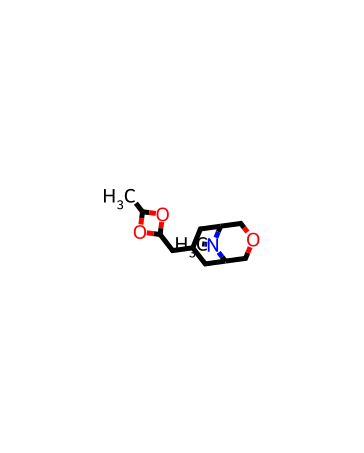 CC1OC(CC2CC3COCC(C2)N3C)O1